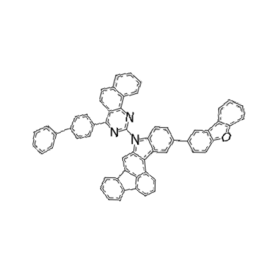 c1ccc(-c2ccc(-c3nc(-n4c5ccc(-c6ccc7oc8ccccc8c7c6)cc5c5c6cccc7c6c(cc54)-c4ccccc4-7)nc4c3ccc3ccccc34)cc2)cc1